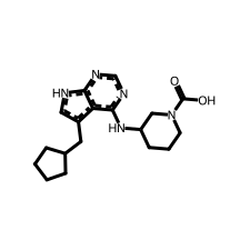 O=C(O)N1CCCC(Nc2ncnc3[nH]cc(CC4CCCC4)c23)C1